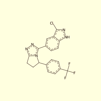 FC(F)(F)c1ccc(C2CCc3nnc(-c4ccc5[nH]nc(Cl)c5c4)n32)cc1